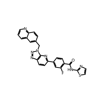 O=C(Nc1nccs1)c1ccc(-c2ccc3nnn(Cc4ccc5ncccc5c4)c3n2)cc1F